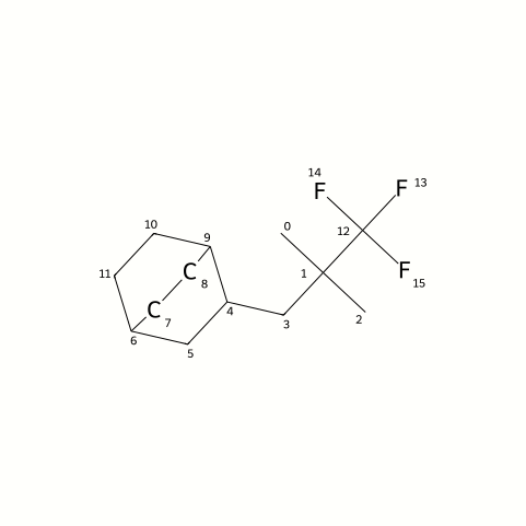 CC(C)(CC1CC2CCC1CC2)C(F)(F)F